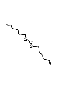 C=CCCCCSOSCCCCC=C